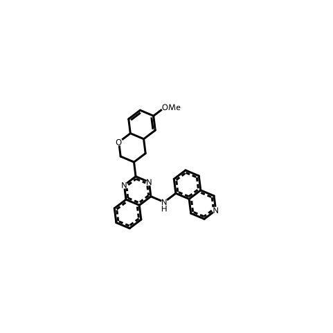 COC1=CC2CC(c3nc(Nc4cccc5cnccc45)c4ccccc4n3)COC2C=C1